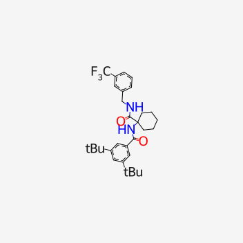 CC(C)(C)c1cc(C(=O)NC2(C(=O)NCc3cccc(C(F)(F)F)c3)CCCCC2)cc(C(C)(C)C)c1